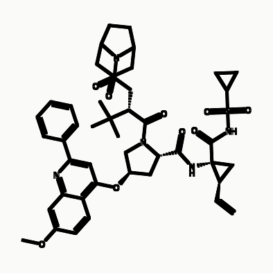 C=C[C@@H]1C[C@]1(NC(=O)[C@@H]1C[C@@H](Oc2cc(-c3ccccc3)nc3cc(OC)ccc23)CN1C(=O)[C@@H](CC(=O)N1C2CCC1CC(=O)C2)C(C)(C)C)C(=O)NS(=O)(=O)C1CC1